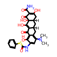 CN(C)c1cc(NC(=O)Sc2ccccc2)c(O)c2c1C[C@H]1C[C@H]3CC(O)=C(C(N)=O)C(=O)[C@@]3(O)C(O)=C1C2=O